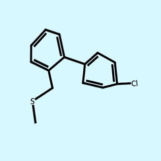 CSCc1ccccc1-c1ccc(Cl)cc1